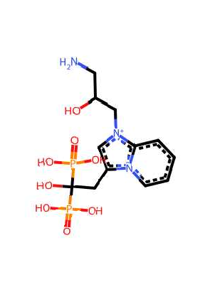 NCC(O)C[n+]1cc(CC(O)(P(=O)(O)O)P(=O)(O)O)n2ccccc21